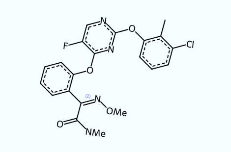 CNC(=O)/C(=N\OC)c1ccccc1Oc1nc(Oc2cccc(Cl)c2C)ncc1F